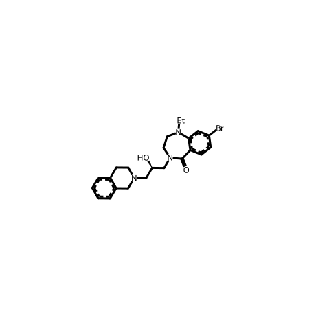 CCN1CCN(C[C@H](O)CN2CCc3ccccc3C2)C(=O)c2ccc(Br)cc21